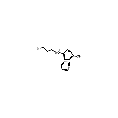 BrCCCBr.Oc1ccc(O)cc1.c1ccncc1